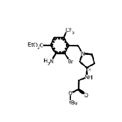 CCOC(=O)c1cc(C(F)(F)F)c(CN2CC[C@@H](NCC(=O)OC(C)(C)C)C2)c(Br)c1N